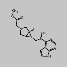 COC(=O)CN1CC2[C@H](C1)[C@H]2CN(C)c1ncnc2[nH]ccc12